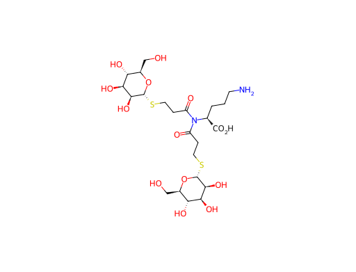 NCCC[C@@H](C(=O)O)N(C(=O)CCS[C@H]1O[C@H](CO)[C@@H](O)[C@H](O)[C@@H]1O)C(=O)CCS[C@H]1O[C@H](CO)[C@@H](O)[C@H](O)[C@@H]1O